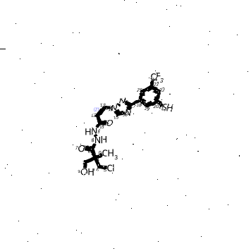 CC(CO)(CCl)C(=O)NNC(=O)/C=C\n1cnc(-c2cc(S)cc(C(F)(F)F)c2)n1